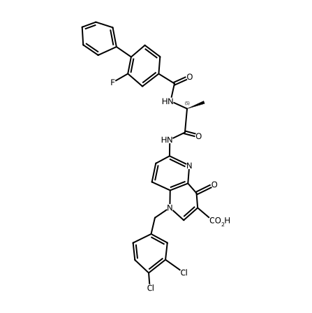 C[C@H](NC(=O)c1ccc(-c2ccccc2)c(F)c1)C(=O)Nc1ccc2c(n1)c(=O)c(C(=O)O)cn2Cc1ccc(Cl)c(Cl)c1